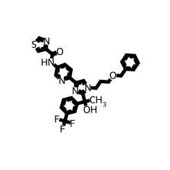 CC(O)(c1cccc(C(F)(F)F)c1)c1nc(-c2ccc(NC(=O)c3cscn3)cn2)cn1CCCOCc1ccccc1